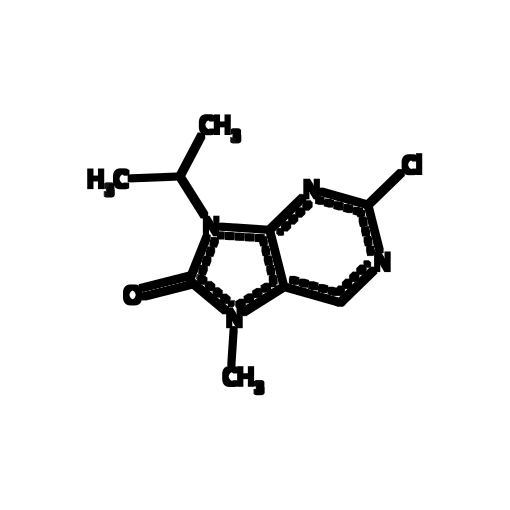 CC(C)n1c(=O)n(C)c2cnc(Cl)nc21